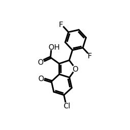 O=C(O)C1=C2C(=O)C=C(Cl)C=C2OC1c1cc(F)ccc1F